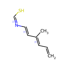 C=C/C=C(C)/C=C/N=C\S